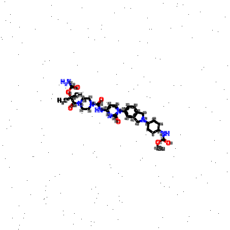 CC(C)(C)OC(=O)NC1CCC(N2Cc3ccc(-n4ccc(NC(=O)N5CCN(C(=O)C(C)(C)OC(N)=O)CC5)nc4=O)cc3C2)CC1